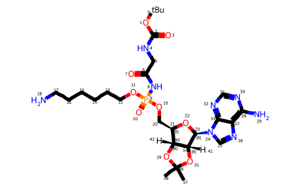 CC(C)(C)OC(=O)NCC(=O)NP(=O)(OCCCCCCN)OC[C@H]1O[C@@H](n2cnc3c(N)ncnc32)[C@@H]2OC(C)(C)O[C@@H]21